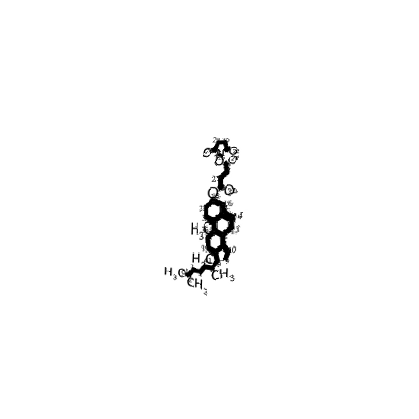 CC(C)CCC[C@@H](C)[C@H]1CCC2C3CC=C4CC(OC(=O)CCC(=O)ON5C(=O)CCC5=O)CC[C@]4(C)C3CC[C@@]21C